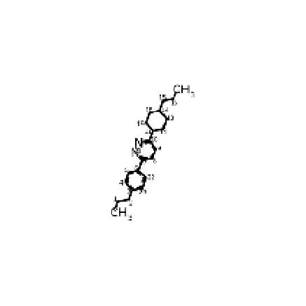 CCCc1ccc(-c2ccc(C3CCC(CCC)CC3)nn2)cc1